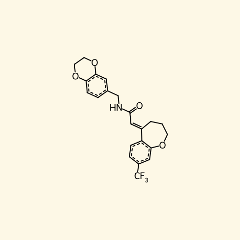 O=C(C=C1CCCOc2cc(C(F)(F)F)ccc21)NCc1ccc2c(c1)OCCO2